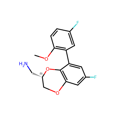 COc1ccc(F)cc1-c1cc(F)cc2c1O[C@@H](CN)CO2